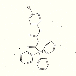 O=C(CC(=O)[PH](c1ccccc1)(c1ccccc1)c1ccccc1)Oc1ccc(Cl)cc1